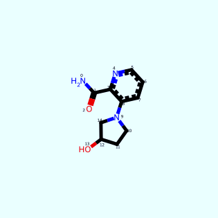 NC(=O)c1ncccc1N1CCC(O)C1